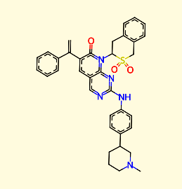 C=C(c1ccccc1)c1cc2cnc(Nc3ccc(C4CCCN(C)C4)cc3)nc2n(C2Cc3ccccc3CS2(=O)=O)c1=O